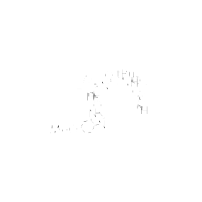 CC[C@@H]1[C@@H]2CN(C(=O)[C@H](C(C)(C)C)NC(=O)O[C@]3(CCF)C[C@H]3CCCCCc3nc4ccc(OC)cc4nc3O2)[C@@H]1C(C)=O